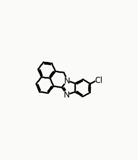 Clc1ccc2nc3n(c2c1)Cc1cccc2cccc-3c12